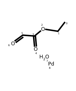 CCOC(=O)C=O.O.[Pd]